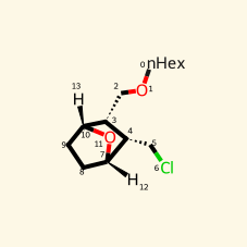 CCCCCCOC[C@@H]1[C@H](CCl)[C@@H]2CC[C@H]1O2